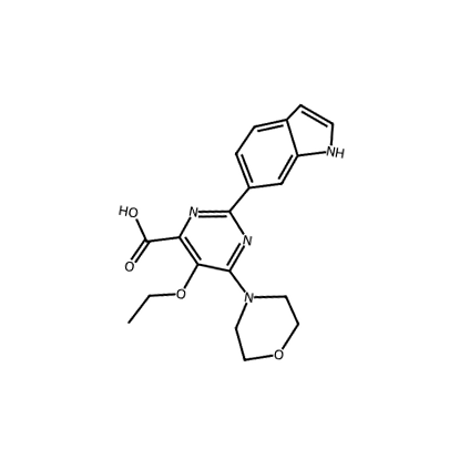 CCOc1c(C(=O)O)nc(-c2ccc3cc[nH]c3c2)nc1N1CCOCC1